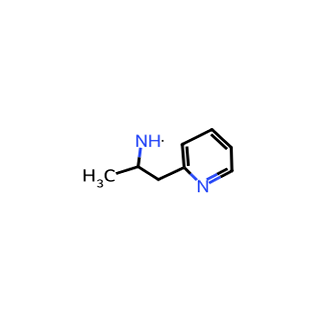 CC([NH])Cc1ccccn1